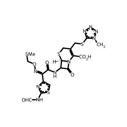 CSCO/N=C(\C(=O)NC1C(=O)N2C(C(=O)O)=C(CSc3nnnn3C)CS[C@H]12)c1csc(NC=O)n1